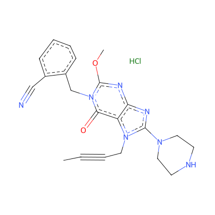 CC#CCn1c(N2CCNCC2)nc2nc(OC)n(Cc3ccccc3C#N)c(=O)c21.Cl